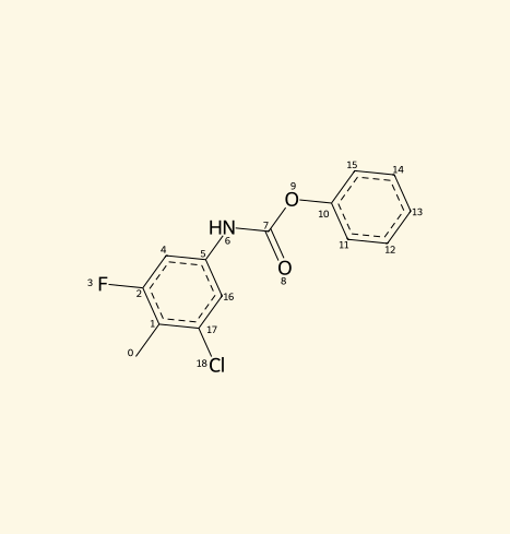 Cc1c(F)cc(NC(=O)Oc2ccccc2)cc1Cl